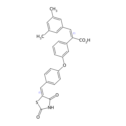 Cc1cc(C)cc(/C=C(/C(=O)O)c2cccc(Oc3ccc(/C=C4/SC(=O)NC4=O)cc3)c2)c1